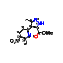 COC(=O)c1[nH]nc(C)c1-c1ccc([N+](=O)[O-])c(C)n1